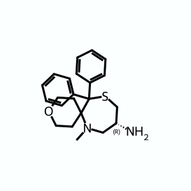 CN1C[C@@H](N)CSC(c2ccccc2)(c2ccccc2)C12CCOCC2